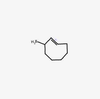 BC1/C=C/CCCCC1